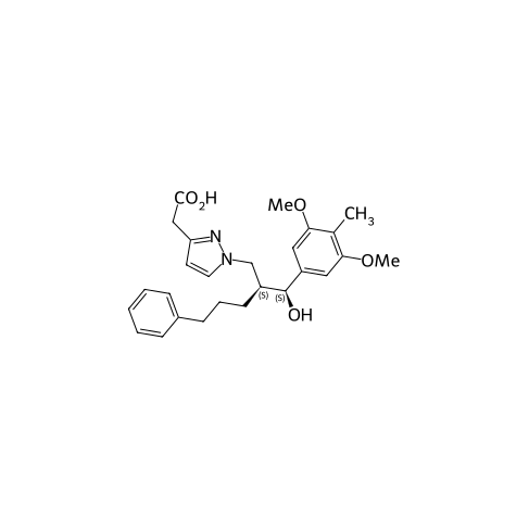 COc1cc([C@@H](O)[C@@H](CCCc2ccccc2)Cn2ccc(CC(=O)O)n2)cc(OC)c1C